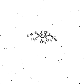 CC([Si](C)(C)N=[N+]=[N-])[Si](C)(C)N=[N+]=[N-]